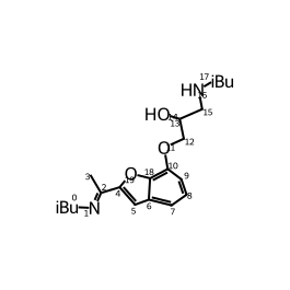 CCC(C)N=C(C)c1cc2cccc(OCC(O)CNC(C)CC)c2o1